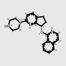 c1ccc2c(O[C@H]3CCc4ccc(N5CCNCC5)nc43)nccc2c1